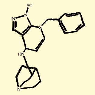 CCn1ncc2c1N(Cc1ccccc1)C=CC2NC1CN2CCC1CC2